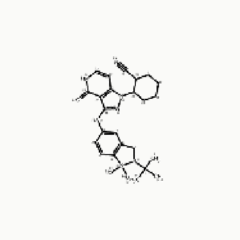 CC(C)(C)N1Cc2cc(Nc3nn(C4CCCCC4C#N)c4cc[nH]c(=O)c34)ccc2S1(O)O